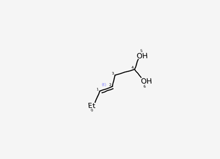 CC/C=C/CC(O)O